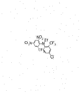 CCN(c1ccc(Cl)cc1C(F)(F)F)c1c([N+](=O)[O-])cc([N+](=O)[O-])cc1C(F)(F)F